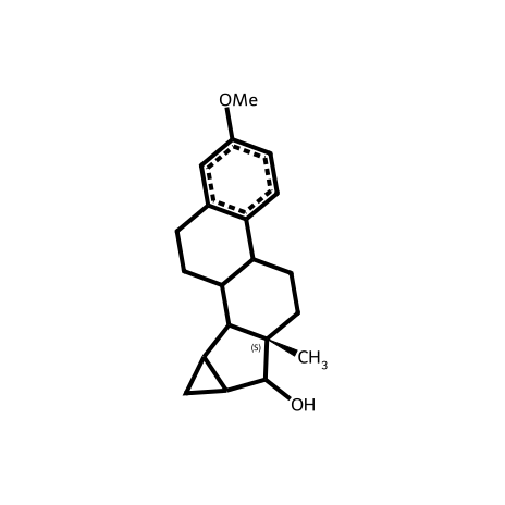 COc1ccc2c(c1)CCC1C2CC[C@]2(C)C(O)C3CC3C12